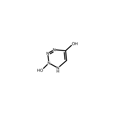 OC1=CNN(O)N=N1